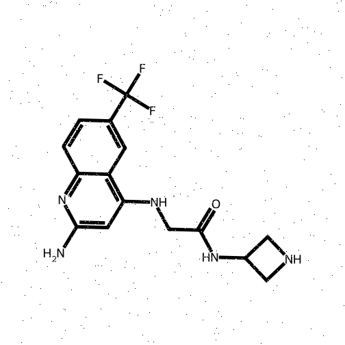 Nc1cc(NCC(=O)NC2CNC2)c2cc(C(F)(F)F)ccc2n1